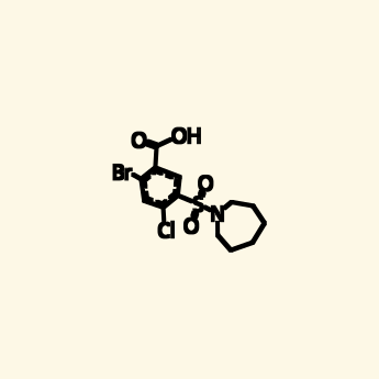 O=C(O)c1cc(S(=O)(=O)N2CCCCCC2)c(Cl)cc1Br